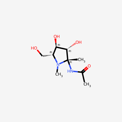 CC(=O)N[C@@]1(C)[C@@H](O)[C@H](O)[C@@H](CO)N1C